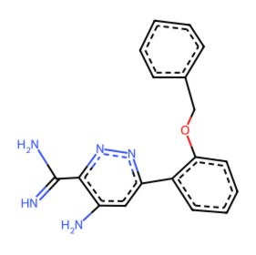 N=C(N)c1nnc(-c2ccccc2OCc2ccccc2)cc1N